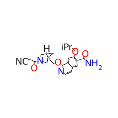 CC(C)Oc1cc2c(OCC34C[C@@H]3CN(C(=O)CC#N)C4)nccc2cc1C(N)=O